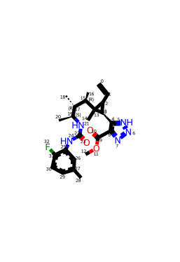 C=CC1[C@@H](c2[nH]nnc2C(=O)OC)C1(C)[C@H](C)[C@@H](C)[C@H](C)NC(=O)Nc1cc(C)ccc1F